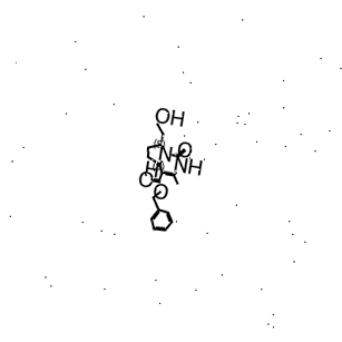 CC1=C(C(=O)OCc2ccccc2)[C@@H]2CC[C@@H](CCO)N2C(=O)N1